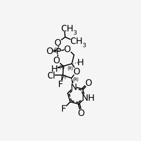 CC(C)O[P@@]1(=O)OC[C@H]2O[C@@H](n3cc(F)c(=O)[nH]c3=O)[C@](F)(Cl)[C@@H]2O1